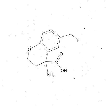 NC1(C(=O)O)CCOc2ccc(CF)cc21